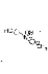 COc1ccc(CN(CCC2CCC(O)CC2)C(=O)O)cc1